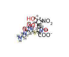 C[C@@H](O)c1cc([N+](=O)[O-])ccc1COC(=O)[N@+]1(C)C[C@@H](SC2=C(C(=O)[O-])N3C(=O)C[C@H]3C2)C[C@H]1C(=O)N1CC[C@H](N(C)C)C1